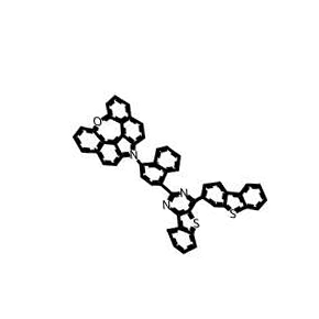 c1cc2ccc3c4c2c(c1)oc1cccc2ccc(c4c21)n3-c1ccc(-c2nc(-c3ccc4c(c3)sc3ccccc34)c3sc4ccccc4c3n2)c2ccccc12